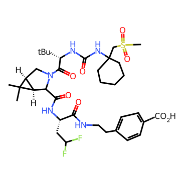 CC(C)(C)[C@H](NC(=O)NC1(CS(C)(=O)=O)CCCCC1)C(=O)N1C[C@H]2[C@@H](C1C(=O)N[C@@H](CC(F)F)C(=O)NCCc1ccc(C(=O)O)cc1)C2(C)C